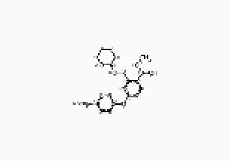 COB(O)c1ccc(Oc2ccc(C#N)cc2)cc1COC1CCCCO1